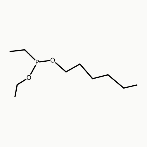 CCCCCCOP(CC)OCC